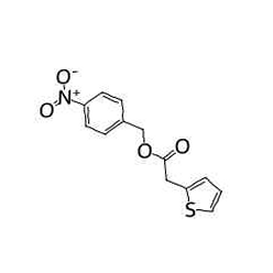 O=C(Cc1cccs1)OCc1ccc([N+](=O)[O-])cc1